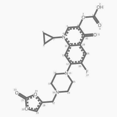 O=C(O)Oc1cn(C2CC2)c2cc(N3CCN(Cc4coc(=O)o4)CC3)c(F)cc2c1=O